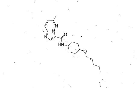 CCCCCO[C@H]1CC[C@H](NC(=O)c2cnc3c(C)cc(C)nn23)CC1